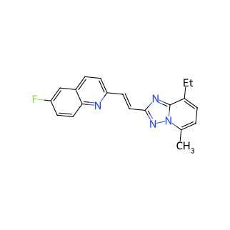 CCc1ccc(C)n2nc(C=Cc3ccc4cc(F)ccc4n3)nc12